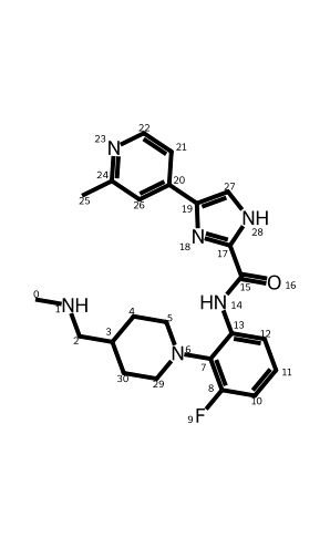 CNCC1CCN(c2c(F)cccc2NC(=O)c2nc(-c3ccnc(C)c3)c[nH]2)CC1